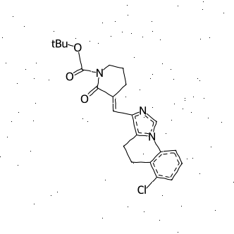 CC(C)(C)OC(=O)N1CCC/C(=C\c2ncn3c2CCc2c(Cl)cccc2-3)C1=O